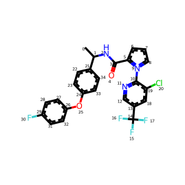 CC(NC(=O)c1cccn1-c1ncc(C(F)(F)F)cc1Cl)c1ccc(Oc2ccc(F)cc2)cc1